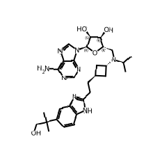 CC(C)N(C[C@H]1O[C@@H](n2cnc3c(N)ncnc32)[C@@H](O)[C@H]1O)[C@H]1C[C@H](CCc2nc3cc(C(C)(C)CO)ccc3[nH]2)C1